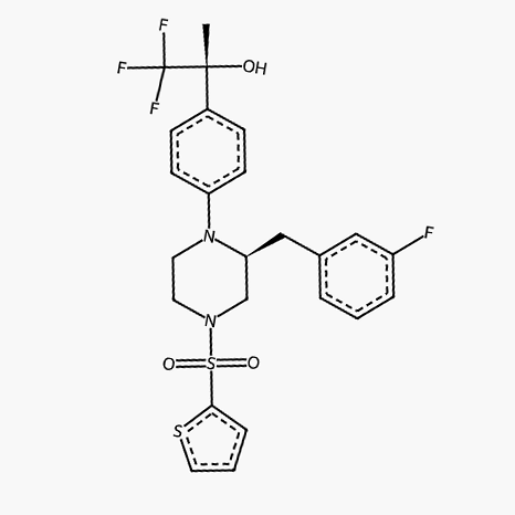 C[C@@](O)(c1ccc(N2CCN(S(=O)(=O)c3cccs3)C[C@@H]2Cc2cccc(F)c2)cc1)C(F)(F)F